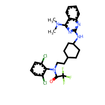 CN(C)c1nc(NC2CCC(CCN(C(=O)C(F)(F)F)c3c(Cl)cccc3Cl)CC2)nc2ccccc12